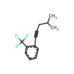 CC(C)CC#Cc1ccccc1C(F)(F)F